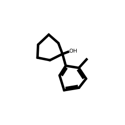 Cc1ccccc1C1(O)CCCCC1